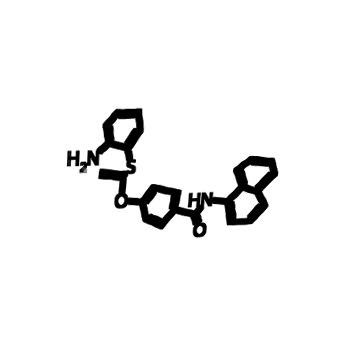 C=C(Oc1ccc(C(=O)Nc2cccc3ccccc23)cc1)Sc1ccccc1N